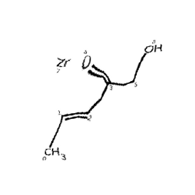 CC=CC(=O)CO.[Zr]